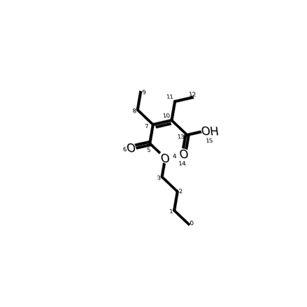 CCCCOC(=O)C(CC)=C(CC)C(=O)O